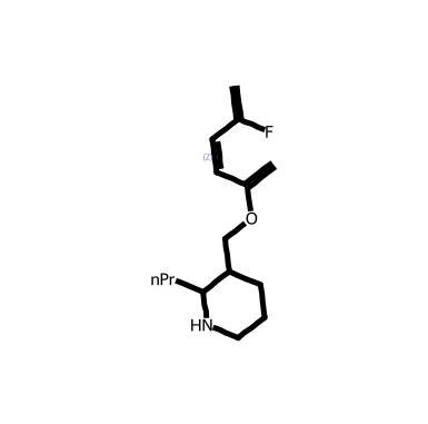 C=C(F)/C=C\C(=C)OCC1CCCNC1CCC